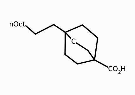 CCCCCCCCCCC12CCC(C(=O)O)(CC1)CC2